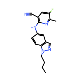 CCCCn1ncc2cc(Nc3nc(C)c(F)cc3C#N)ccc21